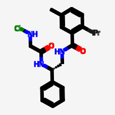 Cc1ccc(C(C)C)c(C(=O)NC[C@@H](NC(=O)CNCl)c2ccccc2)c1